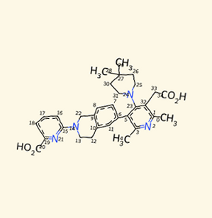 Cc1nc(C)c(-c2ccc3c(c2)CCN(c2cccc(C(=O)O)n2)C3)c(N2CCC(C)(C)CC2)c1CC(=O)O